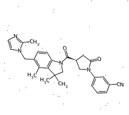 Cc1c(Cn2ccnc2C)ccc2c1C(C)(C)CN2C(=O)[C@H]1CC(=O)N(c2cccc(C#N)c2)C1